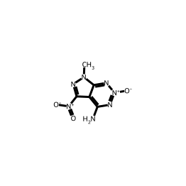 Cn1nc([N+](=O)[O-])c2c(N)n[n+]([O-])nc21